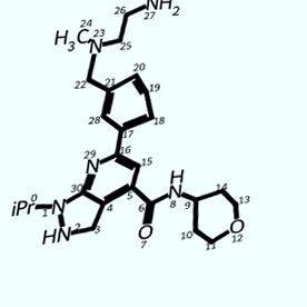 CC(C)N1NCc2c(C(=O)NC3CCOCC3)cc(-c3cccc(CN(C)CCN)c3)nc21